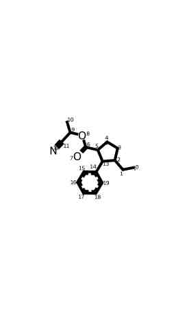 [CH2]CC1C[CH]C(C(=O)OC(C)C#N)C1c1ccccc1